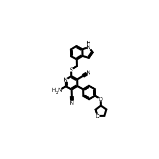 N#Cc1c(N)nc(SCc2cccc3[nH]ccc23)c(C#N)c1-c1ccc(OC2CCOC2)cc1